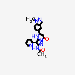 CC(=O)Nc1nn2c(=O)cc(-c3ccc4c(cnn4C)c3)[nH]c2c1-c1ccccn1